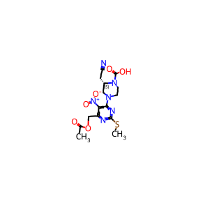 CSc1nc(COC(C)=O)c([N+](=O)[O-])c(N2CCN(C(=O)O)[C@@H](CC#N)C2)n1